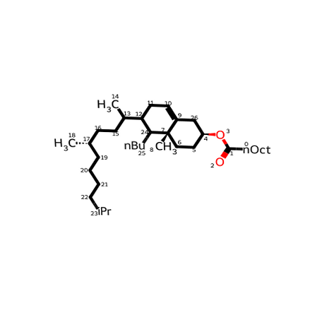 CCCCCCCCC(=O)O[C@H]1CC[C@@]2(C)C(=CCC(C(C)CC[C@@H](C)CCCCC(C)C)C2CCCC)C1